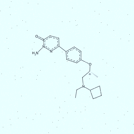 CCN(C[C@@H](C)Oc1ccc(-c2ccc(=O)n(N)n2)cc1)C1CCC1